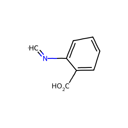 [CH]=Nc1ccccc1C(=O)O